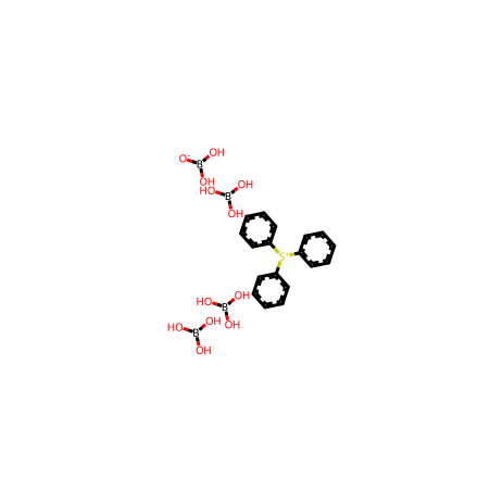 OB(O)O.OB(O)O.OB(O)O.[O-]B(O)O.c1ccc([S+](c2ccccc2)c2ccccc2)cc1